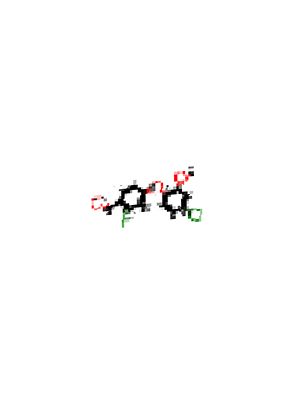 COc1cc(Cl)ccc1Oc1ccc(C=O)c(F)c1